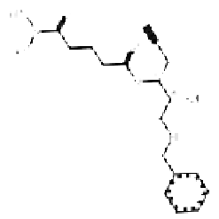 C#CC[C@H](NC(=O)CCCC(=O)N(CCC)CCC)[C@H](O)CNCc1ccccc1